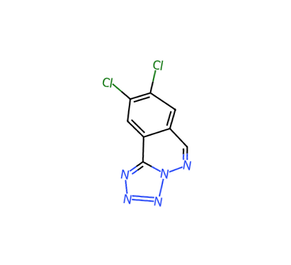 Clc1cc2cnn3nnnc3c2cc1Cl